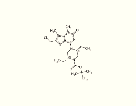 CC[C@@H]1CN(c2nc(=O)n(C)c3c2nc(CCl)n3C)[C@@H](CC)CN1C(=O)OC(C)(C)C